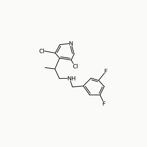 CC(CNCc1cc(F)cc(F)c1)c1c(Cl)cncc1Cl